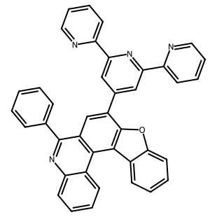 c1ccc(-c2nc3ccccc3c3c2cc(-c2cc(-c4ccccn4)nc(-c4ccccn4)c2)c2oc4ccccc4c23)cc1